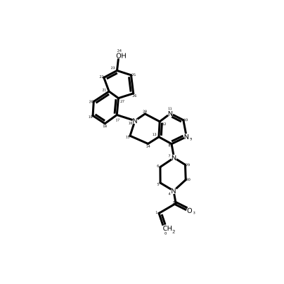 C=CC(=O)N1CCN(c2ncnc3c2CCN(c2cccc4cc(O)ccc24)C3)CC1